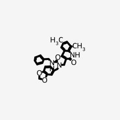 Cc1cc(C)c2[nH]c(=O)c(CN(Cc3ccc4c(c3)OCO4)C(=O)NCc3ccccc3)cc2c1